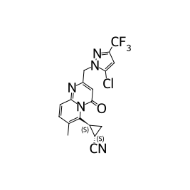 Cc1ccc2nc(Cn3nc(C(F)(F)F)cc3Cl)cc(=O)n2c1[C@H]1C[C@@H]1C#N